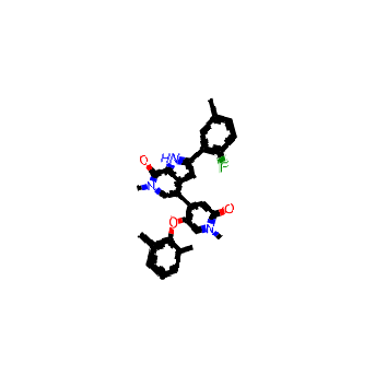 Cc1ccc(F)c(-c2cc3c(-c4cc(=O)n(C)cc4Oc4c(C)cccc4C)cn(C)c(=O)c3[nH]2)c1